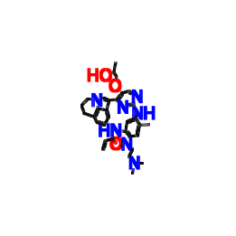 C=CC(=O)Nc1cc(Nc2ncc(OCC(C)O)c(-c3cn4c5c(cccc35)CCC4)n2)c(C)cc1N(C)CCN(C)C